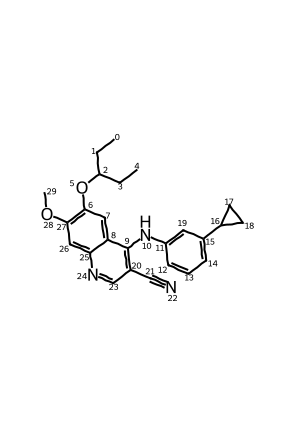 CCC(CC)Oc1cc2c(Nc3cccc(C4CC4)c3)c(C#N)cnc2cc1OC